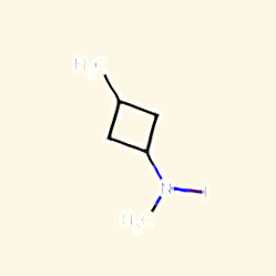 CC1CC(N(C)I)C1